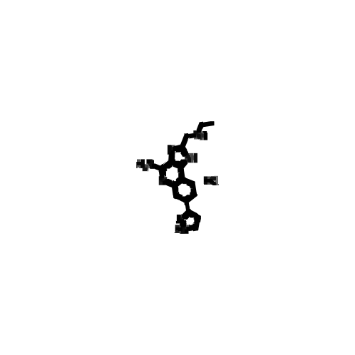 CCNCc1nc2c(N)nc3cc(-c4cc[nH]n4)ccc3c2[nH]1.Cl